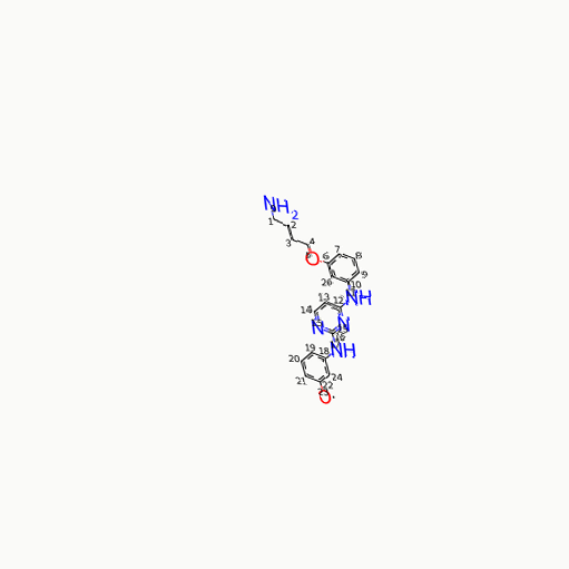 NCCCCOc1cccc(Nc2ccnc(Nc3cccc([O])c3)n2)c1